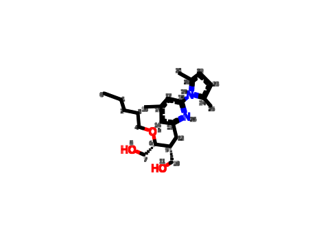 CCCCCO[C@@H](CO)[C@@H](CO)Cc1cc(C)cc(-n2c(C)ccc2C)n1